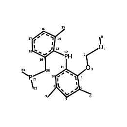 COCOc1c(C)cc(C)cc1Pc1c(C)cccc1CP(C)C